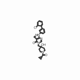 O=C(C1CC1)N1CCC(O)(Cn2cnc3c(cnn3-c3cccc(-c4ccccc4Cl)c3)c2=O)CC1